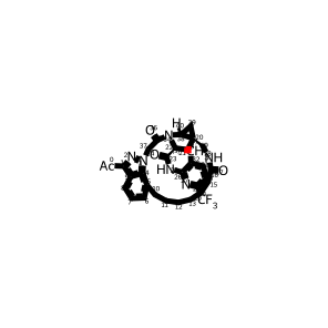 CC(=O)c1nn2c3c(cccc13)CCCCCCC(=O)NC[C@@]13C[C@@H](C(=O)Nc4nc(C(F)(F)F)ccc4C)N(C(=O)C2)[C@@H]1C3